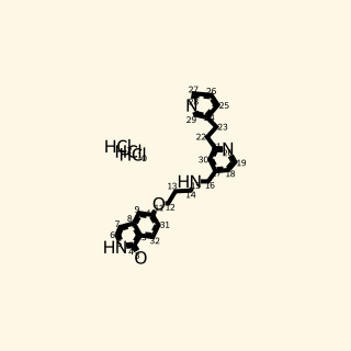 Cl.Cl.Cl.O=c1[nH]ccc2cc(OCCCNCc3ccnc(CCc4cccnc4)c3)ccc12